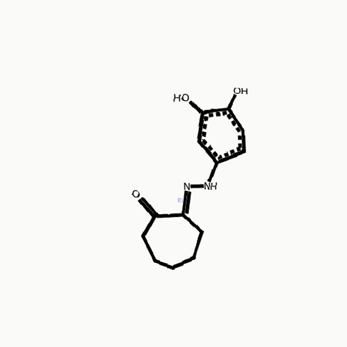 O=C1CCCCC/C1=N\Nc1ccc(O)c(O)c1